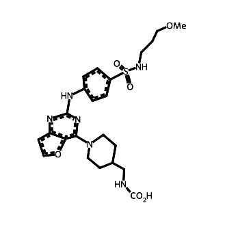 COCCCNS(=O)(=O)c1ccc(Nc2nc(N3CCC(CNC(=O)O)CC3)c3occc3n2)cc1